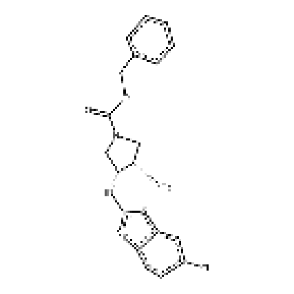 N[C@H]1CN(C(=O)OCc2ccccc2)C[C@H]1Nc1nc2ccc(Cl)cc2s1